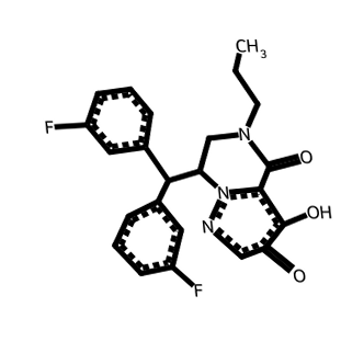 CCCN1CC(C(c2cccc(F)c2)c2cccc(F)c2)n2ncc(=O)c(O)c2C1=O